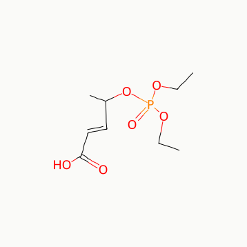 CCOP(=O)(OCC)OC(C)C=CC(=O)O